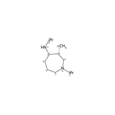 CC(C)NC1CCCN(C(C)C)C[C@H]1C